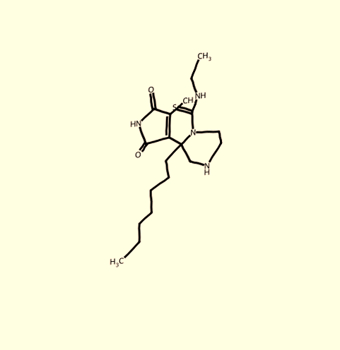 CCCCCCCC1(C2=C(C)C(=O)NC2=O)CNCCN1C(=S)NCC